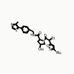 CCC(C(=O)N1CC(O)CC1C(=O)NCc1ccc(-c2scnc2C)cc1)c1cc(C(C)(C)C)no1